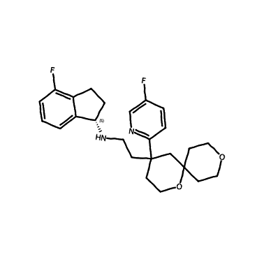 Fc1ccc(C2(CCN[C@H]3CCc4c(F)cccc43)CCOC3(CCOCC3)C2)nc1